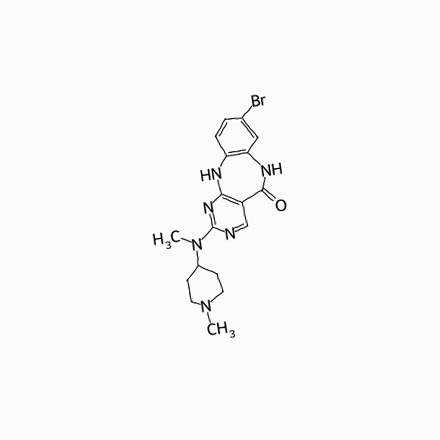 CN1CCC(N(C)c2ncc3c(n2)Nc2ccc(Br)cc2NC3=O)CC1